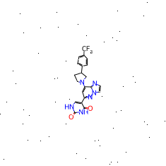 O=c1[nH]cc(-c2cc(N3CCC(c4ccc(C(F)(F)F)cc4)C3)c3nccn3n2)c(=O)[nH]1